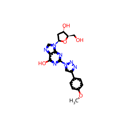 COc1ccc(-c2cn(-c3nc(O)c4ncn([C@H]5C[C@H](O)[C@@H](CO)O5)c4n3)nn2)cc1